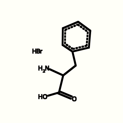 Br.NC(Cc1ccccc1)C(=O)O